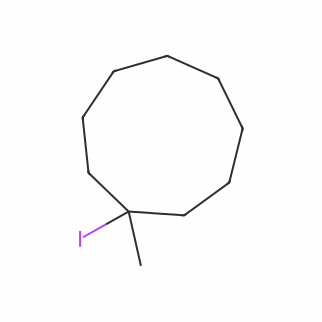 CC1(I)CCCCCCCC1